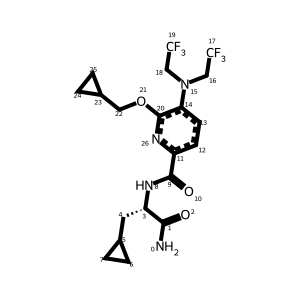 NC(=O)[C@H](CC1CC1)NC(=O)c1ccc(N(CC(F)(F)F)CC(F)(F)F)c(OCC2CC2)n1